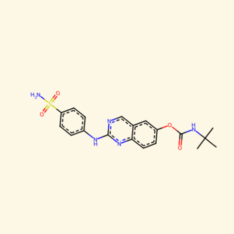 CC(C)(C)NC(=O)Oc1ccc2nc(Nc3ccc(S(N)(=O)=O)cc3)ncc2c1